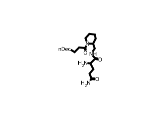 CCCCCCCCCCCCC(=O)N1CCCCC1CNC(=O)C(N)CCC(N)=O